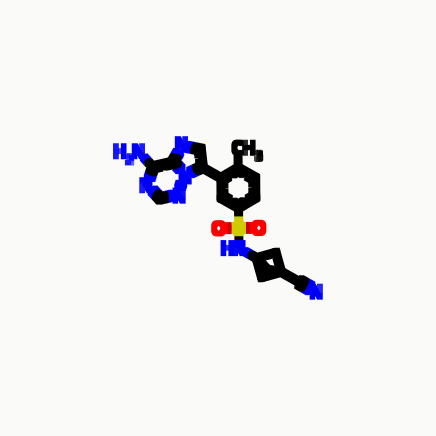 Cc1ccc(S(=O)(=O)NC23CC(C#N)(C2)C3)cc1-c1cnc2c(N)ncnn12